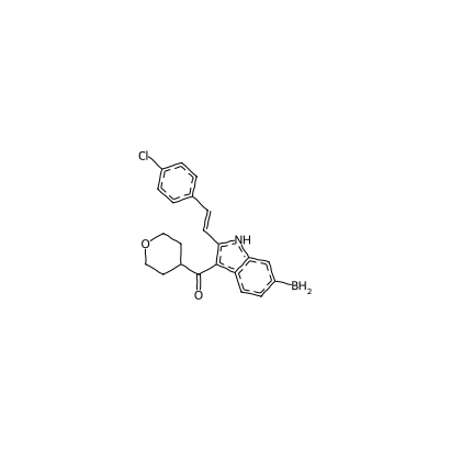 Bc1ccc2c(C(=O)C3CCOCC3)c(/C=C/c3ccc(Cl)cc3)[nH]c2c1